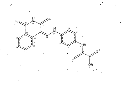 O=C(O)C(=O)Nc1ccc(NC=C2C(=O)NC(=O)c3ccccc32)cc1